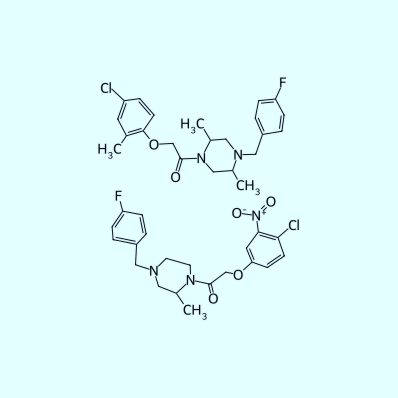 CC1CN(Cc2ccc(F)cc2)CCN1C(=O)COc1ccc(Cl)c([N+](=O)[O-])c1.Cc1cc(Cl)ccc1OCC(=O)N1CC(C)N(Cc2ccc(F)cc2)CC1C